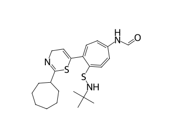 CC(C)(C)NSC1=C=CC(NC=O)=CC=C1C1=CCN=C(C2CCCCCC2)S1